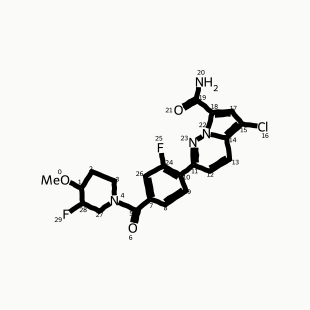 COC1CCN(C(=O)c2ccc(-c3ccc4c(Cl)cc(C(N)=O)n4n3)c(F)c2)CC1F